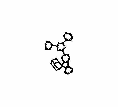 c1ccc(-c2nc(-c3ccccc3)nc(-c3ccc4c(c3)C3(c5ccccc5-4)C4CC5CC(C4)CC3C5)n2)cc1